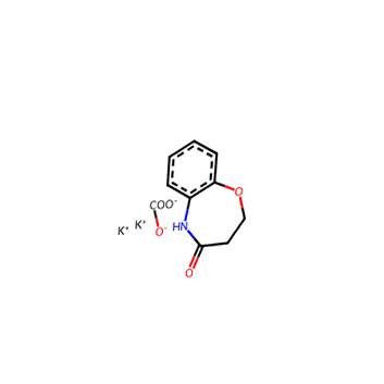 O=C([O-])[O-].O=C1CCOc2ccccc2N1.[K+].[K+]